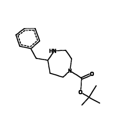 CC(C)(C)OC(=O)N1CCNC(Cc2ccccc2)CC1